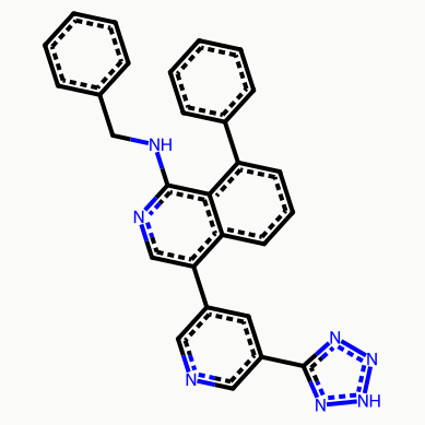 c1ccc(CNc2ncc(-c3cncc(-c4nn[nH]n4)c3)c3cccc(-c4ccccc4)c23)cc1